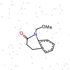 COCN1C(=O)CCc2ccccc21